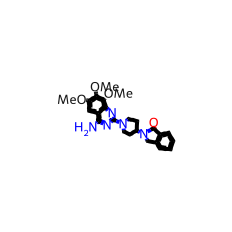 COc1cc2c(N)nc(N3CCC(N4Cc5ccccc5C4=O)CC3)nc2c(OC)c1OC